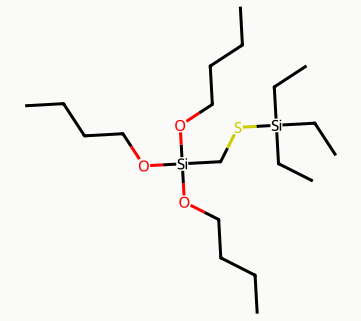 CCCCO[Si](CS[Si](CC)(CC)CC)(OCCCC)OCCCC